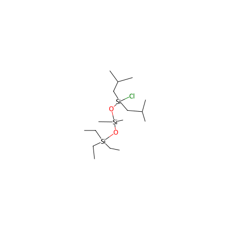 CC[Si](CC)(CC)O[Si](C)(C)O[Si](Cl)(CC(C)C)CC(C)C